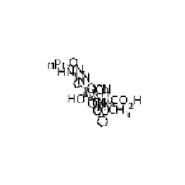 CCCC(=O)Nc1ncnn2c([C@@H]3O[C@](C#N)(CO[P@@](=O)(N[C@@H](C)C(=O)O)Oc4ccccc4)[C@@H](O)[C@H]3O)ccc12